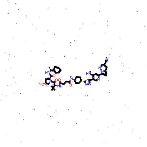 CNc1cc(-c2ccc3cc(C#N)cnn23)ncc1-c1nnc([C@H]2CC[C@H](N(C)C(=O)CCC(=O)N[C@H](C(=O)N3C[C@H](O)C[C@H]3C(=O)N[C@@H](C)c3ccccc3)C(C)(C)C)CC2)s1